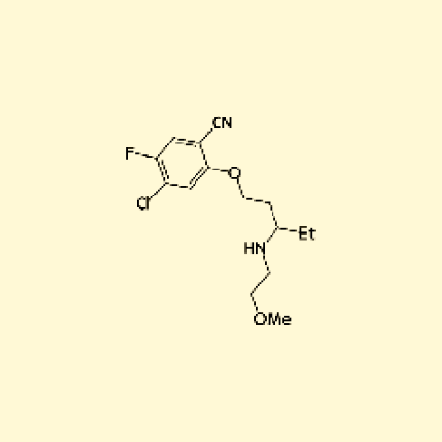 CCC(CCOc1cc(Cl)c(F)cc1C#N)NCCOC